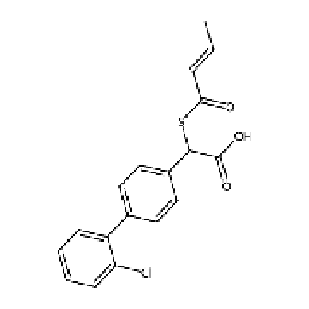 CC=CC(=O)SC(C(=O)O)c1ccc(-c2ccccc2Cl)cc1